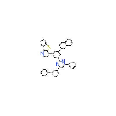 c1ccc(-c2cccc(-c3cc(-c4ccccc4)nc(-c4cc(-c5ccc6ccccc6c5)cc(-c5ccnc6c5sc5ccccc56)c4)n3)c2)cc1